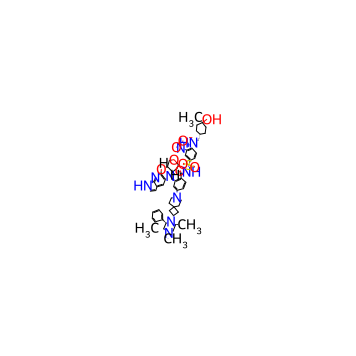 Cc1ccccc1[C@@H]1CN(C)C[C@H](C)N1C1CC2(CCN(c3ccc(C(=O)NS(=O)(=O)c4ccc(NC[C@H]5CC[C@](C)(O)CC5)c([N+](=O)[O-])c4)c(N4c5cc6cc[nH]c6nc5O[C@H]5COCC[C@@H]54)c3)CC2)C1